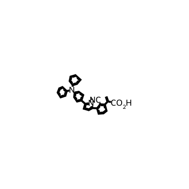 C=C(C(=O)O)c1cccc(-c2ccc(-c3ccc(N(c4ccccc4)c4ccccc4)cc3)n2C)c1C#N